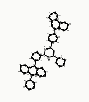 C1=C(c2ccccc2)NC(c2cccc(-c3c4ccccc4c(-c4ccccc4)c4ccccc34)c2)N=C1c1ccc(-c2cc3ccccc3c3ccccc23)cc1